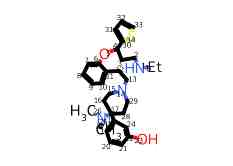 CCNCCC(Oc1ccccc1CCN1CCC(c2cccc(O)c2)(N(C)C)CC1)c1cccs1